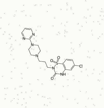 O=C1Nc2cc(Cl)ccc2S(=O)(=O)N1CCCN1CCN(c2ncccn2)CC1